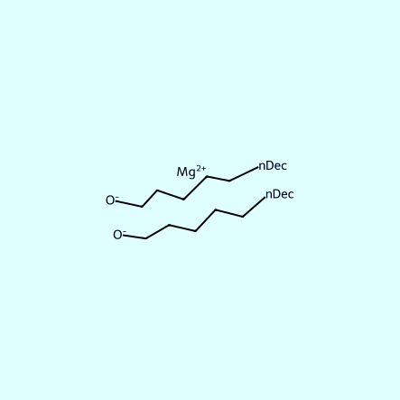 CCCCCCCCCCCCCCC[O-].CCCCCCCCCCCCCCC[O-].[Mg+2]